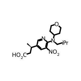 CC(C)CN(c1ncc([C@H](C)CC(=O)O)cc1[N+](=O)[O-])C1CCOCC1